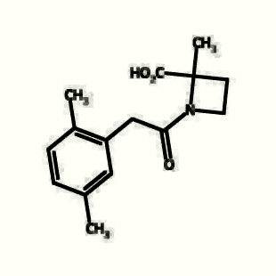 Cc1ccc(C)c(CC(=O)N2CCC2(C)C(=O)O)c1